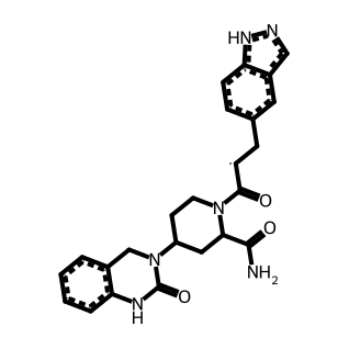 NC(=O)C1CC(N2Cc3ccccc3NC2=O)CCN1C(=O)[CH]Cc1ccc2[nH]ncc2c1